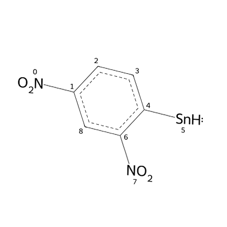 O=[N+]([O-])c1cc[c]([SnH])c([N+](=O)[O-])c1